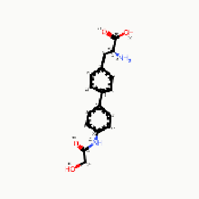 N[C@@H](Cc1ccc(-c2ccc(NC(=O)CO)cc2)cc1)C(=O)O